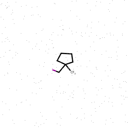 FC(F)(F)C1(CI)CCCC1